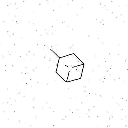 CCCC(C)N1C2CC(C(C)C)CC1C2